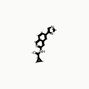 O=C(Nc1cc2cc(-c3cncs3)ccc2cn1)C1CC1